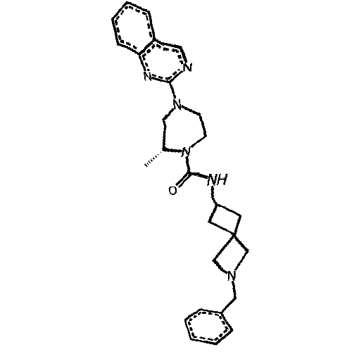 C[C@@H]1CN(c2ncc3ccccc3n2)CCN1C(=O)NC1CC2(C1)CN(Cc1ccccc1)C2